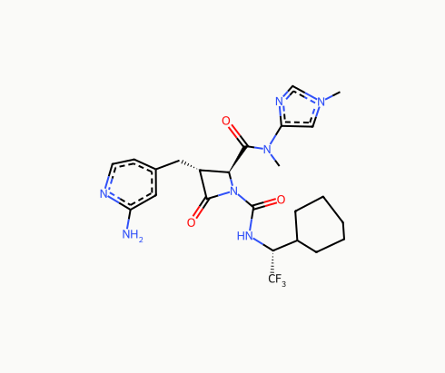 CN(C(=O)[C@@H]1[C@@H](Cc2ccnc(N)c2)C(=O)N1C(=O)N[C@H](C1CCCCC1)C(F)(F)F)c1cn(C)cn1